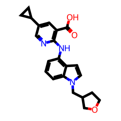 O=C(O)c1cc(C2CC2)cnc1Nc1cccc2c1ccn2CC1CCOC1